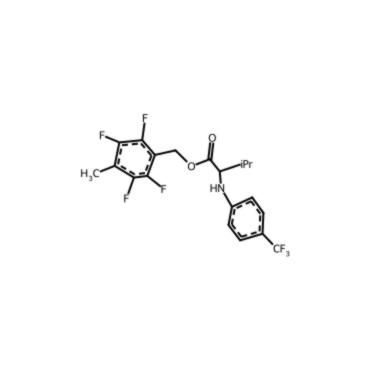 Cc1c(F)c(F)c(COC(=O)C(Nc2ccc(C(F)(F)F)cc2)C(C)C)c(F)c1F